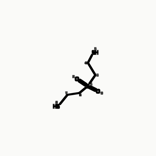 O=S(=O)(CCS)CCS